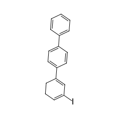 IC1=CCCC(c2ccc(-c3ccccc3)cc2)=C1